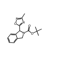 Cc1noc(C2c3ccccc3CN2C(=O)OC(C)(C)C)n1